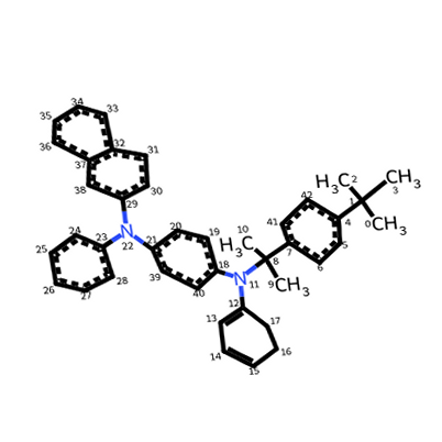 CC(C)(C)c1ccc(C(C)(C)N(C2=CC=CCC2)c2ccc(N(c3ccccc3)c3ccc4ccccc4c3)cc2)cc1